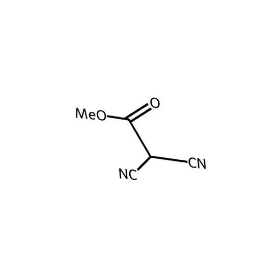 COC(=O)C(C#N)C#N